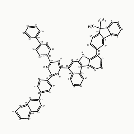 CC1(C)c2ccccc2-c2cc(-c3cccc4c3oc3cc(-c5nc(-c6ccc(-c7ccccc7)cc6)nc(-c6ccc(-c7ccc8ccccc8c7)cc6)n5)c5ccccc5c34)ccc21